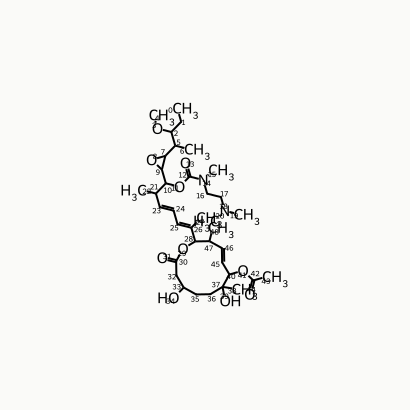 CCC(OC)C(C)C1OC1C(OC(=O)N(C)CCN(C)C)C(C)/C=C/C=C(\C)C1OC(=O)CC(O)CCC(C)(O)C(OC(C)=O)/C=C/C1C